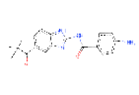 CC(C)(C)C(=O)c1ccc2[nH]c(NC(=O)c3ccc(N)cc3)nc2c1